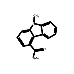 COC(=O)c1cccc2c1c1ccccc1n2C